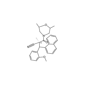 COc1ccccc1C(c1cccc2ccccc12)[C@@](C)(C#N)C(=O)N1CC(C)OC(C)C1